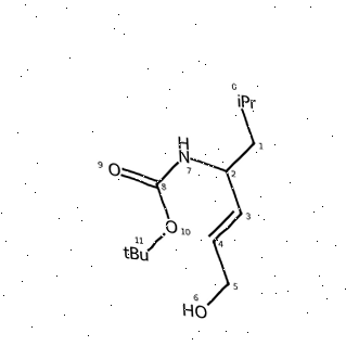 CC(C)CC(C=CCO)NC(=O)OC(C)(C)C